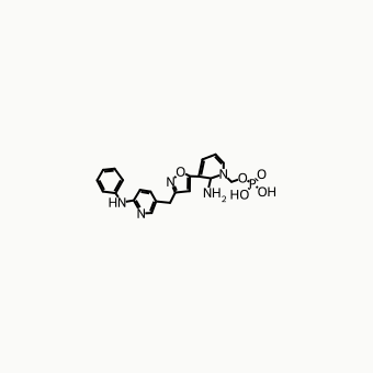 NC1C(c2cc(Cc3ccc(Nc4ccccc4)nc3)no2)=CC=CN1COP(=O)(O)O